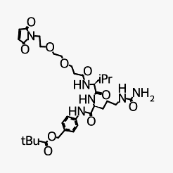 CC(C)[C@H](NC(=O)CCOCCOCCN1C(=O)C=CC1=O)C(=O)N[C@@H](CCCNC(N)=O)C(=O)Nc1ccc(COC(=O)C(C)(C)C)cc1